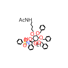 CCOC1(c2cn(S(=O)(=O)c3ccccc3)c3ccccc23)C(O)C(OCCCCCNC(C)=O)C(OCc2ccccc2)C(OCc2ccccc2)C1OCc1ccccc1